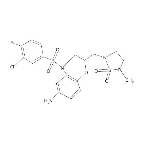 CN1CCN(CC2CN(S(=O)(=O)c3ccc(F)c(Cl)c3)c3cc(N)ccc3O2)S1(=O)=O